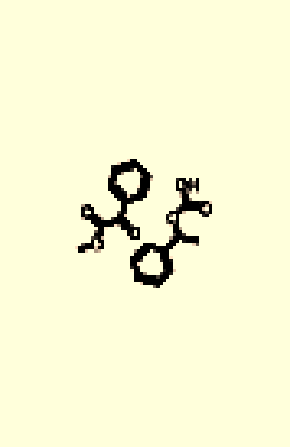 CC(OC(=O)O)c1ccccc1.COC(=O)C(=O)c1ccccc1